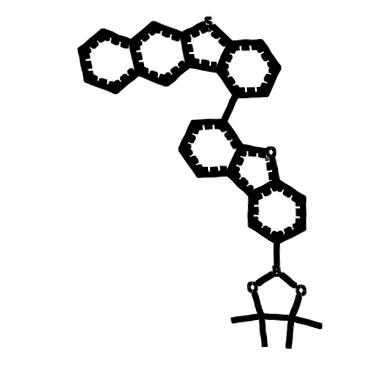 CC1(C)OB(c2ccc3oc4c(-c5cccc6sc7cc8ccccc8cc7c56)cccc4c3c2)OC1(C)C